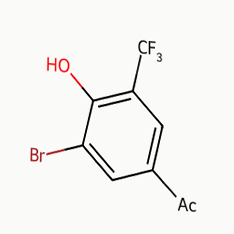 CC(=O)c1cc(Br)c(O)c(C(F)(F)F)c1